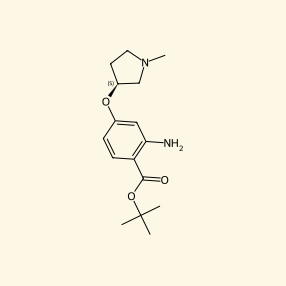 CN1CC[C@H](Oc2ccc(C(=O)OC(C)(C)C)c(N)c2)C1